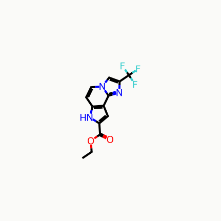 CCOC(=O)c1cc2c(ccn3cc(C(F)(F)F)nc23)[nH]1